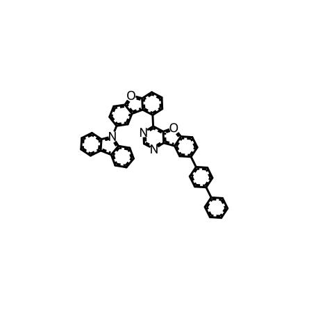 c1ccc(-c2ccc(-c3ccc4oc5c(-c6cccc7oc8ccc(-n9c%10ccccc%10c%10ccccc%109)cc8c67)ncnc5c4c3)cc2)cc1